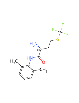 Cc1cccc(C)c1NC(=O)[C@@H](N)CCSC(F)(F)F